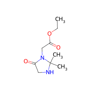 CCOC(=O)CN1C(=O)CNC1(C)C